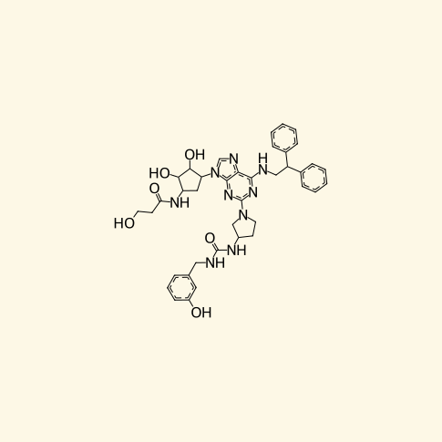 O=C(CCO)NC1CC(n2cnc3c(NCC(c4ccccc4)c4ccccc4)nc(N4CCC(NC(=O)NCc5cccc(O)c5)C4)nc32)C(O)C1O